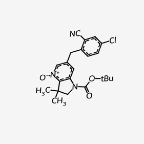 CC(C)(C)OC(=O)N1CC(C)(C)c2c1cc(Cc1ccc(Cl)cc1C#N)c[n+]2[O-]